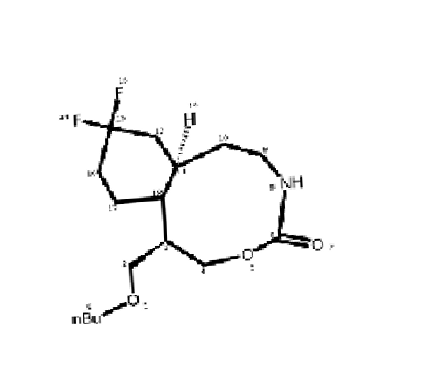 CCCCOC[C@@H]1COC(=O)NCC[C@@H]2CC(F)(F)CCC12